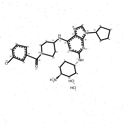 Cl.Cl.N[C@H]1CC[C@H](Nc2nc(NC3CCN(C(=O)c4cccc(Cl)c4)CC3)c3ncn(C4CCCC4)c3n2)CC1